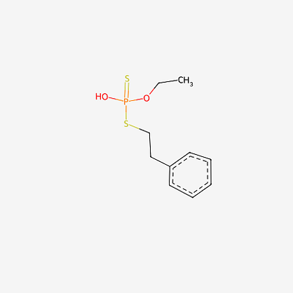 CCOP(O)(=S)SCCc1ccccc1